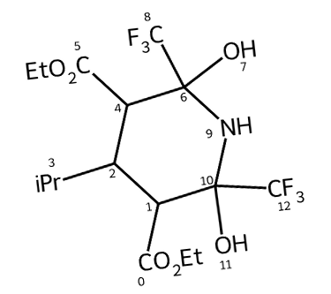 CCOC(=O)C1C(C(C)C)C(C(=O)OCC)C(O)(C(F)(F)F)NC1(O)C(F)(F)F